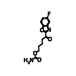 NC(=O)OCCCCC(=O)c1nc2cc(F)ccc2o1